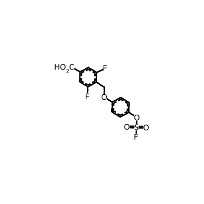 O=C(O)c1cc(F)c(COc2ccc(OS(=O)(=O)F)cc2)c(F)c1